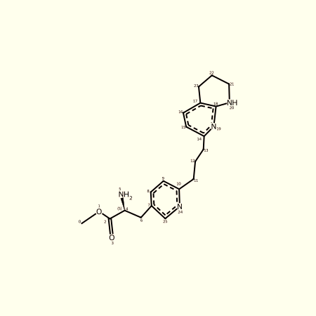 COC(=O)[C@@H](N)Cc1ccc(CCCc2ccc3c(n2)NCCC3)nc1